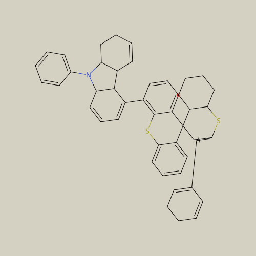 C1=CC2C(C(c3cccc4c3Sc3ccccc3C43C4C=C(C5=CCCC=C5)CCC4SC4CCCCC43)=C1)C1C=CCCC1N2c1ccccc1